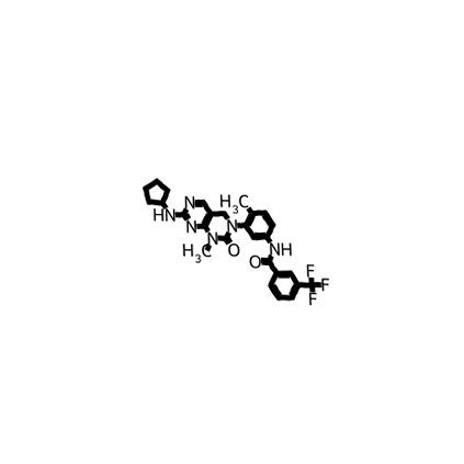 Cc1ccc(NC(=O)c2cccc(C(F)(F)F)c2)cc1N1Cc2cnc(NC3CCCC3)nc2N(C)C1=O